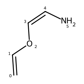 C=CO/C=C\N